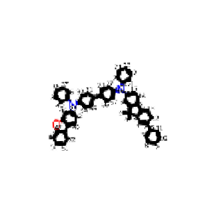 CC1(C)c2cc(-c3ccccc3)ccc2-c2ccc(N(c3ccccc3)c3ccc(-c4ccc(N(c5ccccc5)c5ccc6c(c5)oc5ccccc56)cc4)cc3)cc21